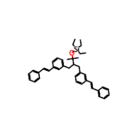 CC[Si](CC)(CC)OC(C)(C)C(Cc1cccc(C=Cc2ccccc2)c1)Cc1cccc(C=Cc2ccccc2)c1